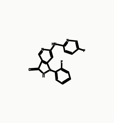 O=c1[nH]n(-c2ccccc2F)c2cc(Nc3ccc(F)cn3)ncc12